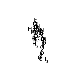 COCCOCCOCCOc1cc(C)c(-c2cc3c(N[C@H]4CC[C@H](N)CC4)c(/C(N)=N/c4cc(F)ccc4Cl)cnn3c2)cn1